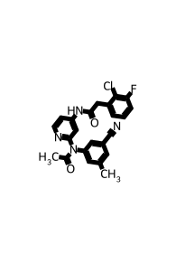 CC(=O)N(c1cc(C)cc(C#N)c1)c1cc(NC(=O)Cc2cccc(F)c2Cl)ccn1